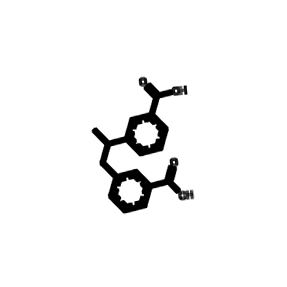 CC(Cc1cccc(C(=O)O)c1)c1cccc(C(=O)O)c1